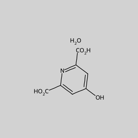 O.O=C(O)c1cc(O)cc(C(=O)O)n1